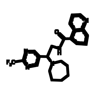 O=C(NCC(c1cnc(C(F)(F)F)nc1)N1CCCCCC1)c1cccc2ncccc12